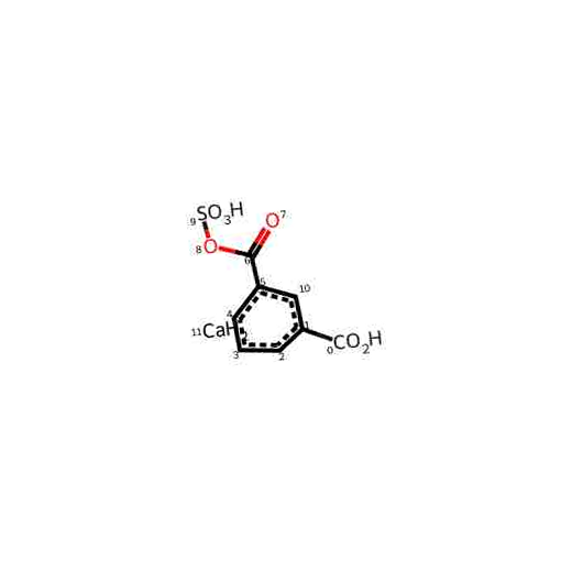 O=C(O)c1cccc(C(=O)OS(=O)(=O)O)c1.[CaH2]